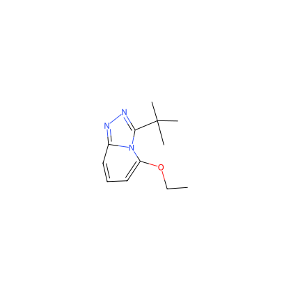 CCOc1cccc2nnc(C(C)(C)C)n12